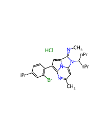 CCCC(CCC)n1c(=NC)c2cc(-c3ccc(C(C)C)cc3Br)c3nc(C)cc1n32.Cl